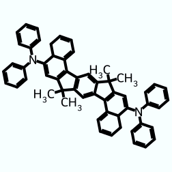 CC1(C)C2=C(C3=CC=CCC3C(N(c3ccccc3)c3ccccc3)=C2)c2cc3c(cc21)C1=C(C=C(N(c2ccccc2)c2ccccc2)C2CC=CC=C12)C3(C)C